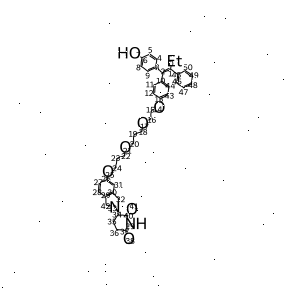 CCC(=C(c1ccc(O)cc1)c1ccc(OCCOCCCOCCCOc2ccc3c(c2)CN(C2CCC(=O)NC2=O)C3)cc1)c1ccccc1